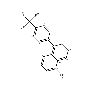 [O-][n+]1cccc2c(-c3ccc(C(F)(F)F)cc3)cccc21